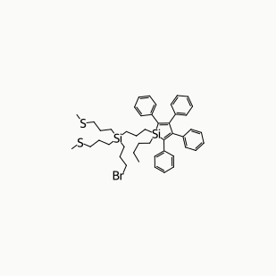 CCCC[Si]1(CCC[Si](CCCBr)(CCCSC)CCCSC)C(c2ccccc2)=C(c2ccccc2)C(c2ccccc2)=C1c1ccccc1